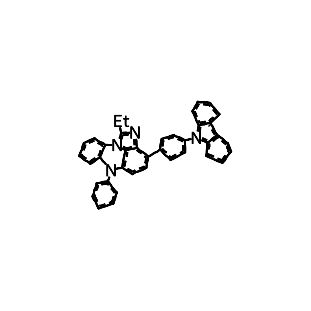 CCc1nc2c(-c3ccc(-n4c5ccccc5c5ccccc54)cc3)ccc3c2n1-c1ccccc1N3c1ccccc1